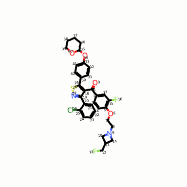 O=C(c1ccc(OCCN2CC(CF)C2)c(F)c1)c1c(-c2ccccc2Cl)nsc1-c1ccc(OC2CCCCO2)cc1